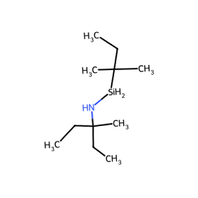 CCC(C)(CC)N[SiH2]C(C)(C)CC